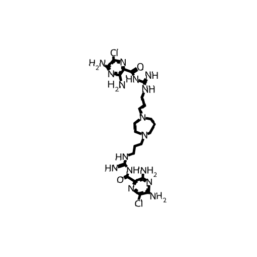 N=C(NCCCN1CCCN(CCCNC(=N)NC(=O)c2nc(Cl)c(N)nc2N)CC1)NC(=O)c1nc(Cl)c(N)nc1N